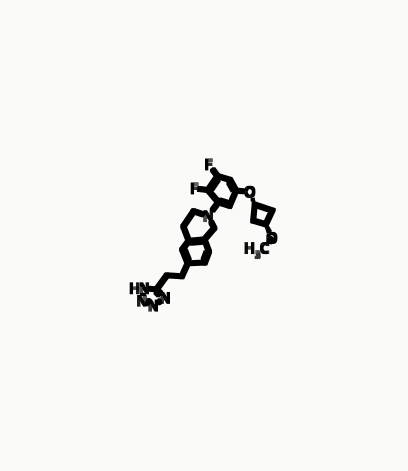 CO[C@H]1C[C@H](Oc2cc(F)c(F)c(N3CCc4cc(CCc5nnn[nH]5)ccc4C3)c2)C1